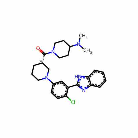 CN(C)C1CCN(C(=O)[C@H]2CCCN(c3ccc(Cl)c(-c4nc5ccccc5[nH]4)c3)C2)CC1